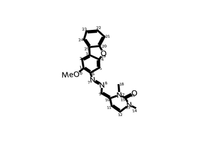 COc1cc2c(cc1N=NC=C1C=CN(C)C(=O)N1C)oc1ccccc12